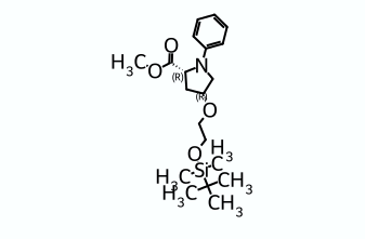 COC(=O)[C@H]1C[C@@H](OCCO[Si](C)(C)C(C)(C)C)CN1c1ccccc1